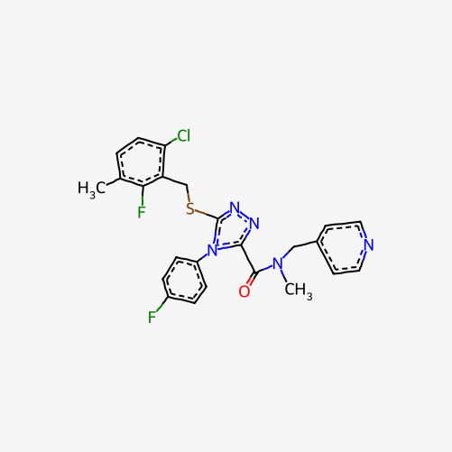 Cc1ccc(Cl)c(CSc2nnc(C(=O)N(C)Cc3ccncc3)n2-c2ccc(F)cc2)c1F